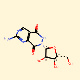 Nc1ncc2c(=O)[nH]n([C@@H]3O[C@H](CO)[C@@H](O)[C@H]3O)c(=O)c2n1